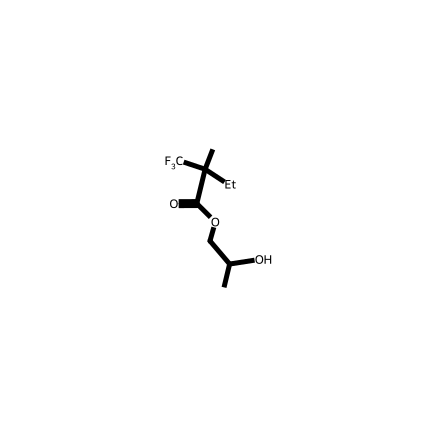 CCC(C)(C(=O)OCC(C)O)C(F)(F)F